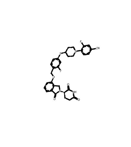 N#Cc1ccc(N2CCC(Sc3ccc(COc4cccc5c4CN([C@@H]4CCC(=O)NC4=O)C5=O)c(F)c3)CC2)c(F)c1